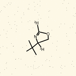 [2H]C1=NC([2H])(C(C)(C)C)CO1